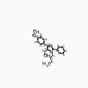 CCCCn1c(-c2ccccc2)nc(-c2ccc(OC)cc2)c1CO